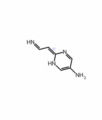 N=C/C=C1/N=CC(N)=CN1